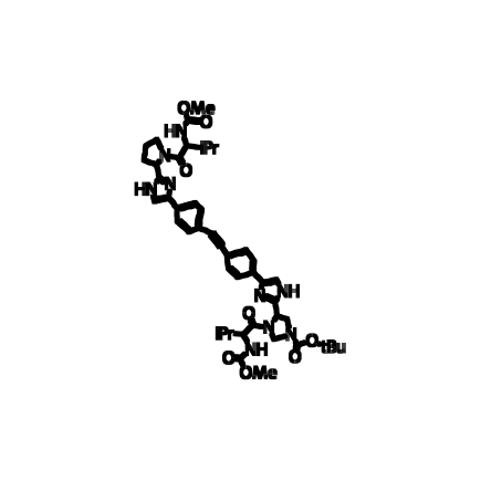 COC(=O)NC(C(=O)N1CCCC1c1nc(-c2ccc(C#Cc3ccc(-c4c[nH]c(C5CN(C(=O)OC(C)(C)C)CN5C(=O)C(NC(=O)OC)C(C)C)n4)cc3)cc2)c[nH]1)C(C)C